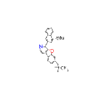 CC(C)(C)c1cc(-c2nccc3c2oc2cc(CC(C)(C)C(F)(F)F)ccc23)cc2ccccc12